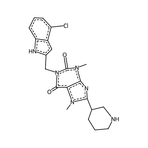 Cn1c(C2CCCNC2)nc2c1c(=O)n(Cc1cc3c(Cl)cccc3[nH]1)c(=O)n2C